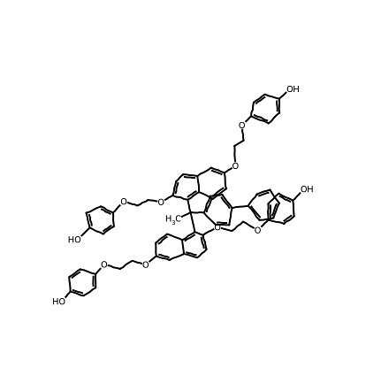 CC(c1ccc(-c2ccccc2)cc1)(c1c(OCCOc2ccc(O)cc2)ccc2cc(OCCOc3ccc(O)cc3)ccc12)c1c(OCCOc2ccc(O)cc2)ccc2cc(OCCOc3ccc(O)cc3)ccc12